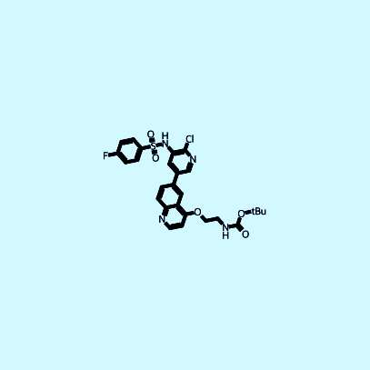 CC(C)(C)OC(=O)NCCOc1ccnc2ccc(-c3cnc(Cl)c(NS(=O)(=O)c4ccc(F)cc4)c3)cc12